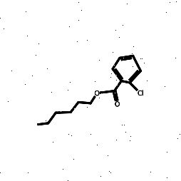 CCCCCCOC(=O)c1ccccc1Cl